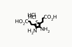 Cl.Cl.Nc1c(CCC(=O)O)sc(CCC(=O)O)c1N